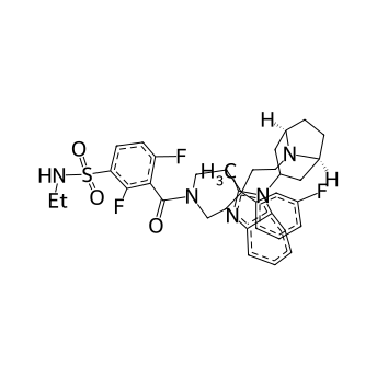 CCNS(=O)(=O)c1ccc(F)c(C(=O)N2CCC(CCN3[C@@H]4CC[C@H]3CC(n3c(C)nc5ccccc53)C4)(c3cccc(F)c3)CC2)c1F